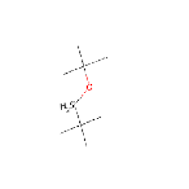 [CH2]C(C)(C)O[SiH2]C(C)(C)C